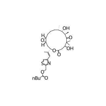 CCCCC(=O)OCc1nc(C=C(C)[C@@H]2C[C@@H]3O[C@@H]3CCC[C@H](C)[C@H](O)[C@@H](C)C(=O)C(C)(C)[C@@H](O)CC(=O)O2)cs1